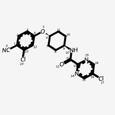 N#Cc1ccc(O[C@H]2CC[C@H](NC(=O)c3ncc(Cl)cn3)CC2)cc1Cl